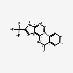 CC(Nc1ncnc2[nH]c(C(F)(F)F)cc12)c1ccccc1